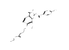 CCOC(=O)CCCOc1ccc2c(=O)n(C)c(NC(=O)c3cnc(N)nc3)nc2c1OC